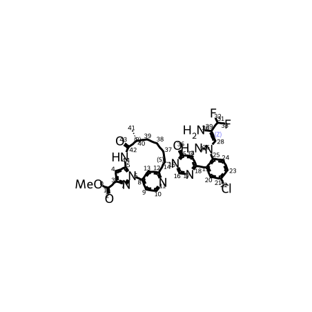 COC(=O)c1cc2n(n1)-c1ccnc(c1)[C@@H](n1cnc(-c3cc(Cl)ccc3N(N)/C=C(\N)C(F)F)cc1=O)CCC[C@@H](C)C(=O)N2